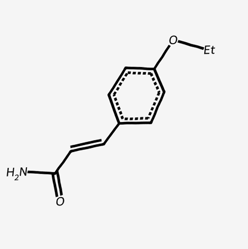 CCOc1ccc(C=CC(N)=O)cc1